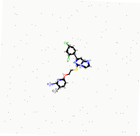 Nc1nc(OCCSc2nc(-c3ccc(Cl)cc3Cl)cc3nccn23)ccc1[N+](=O)[O-]